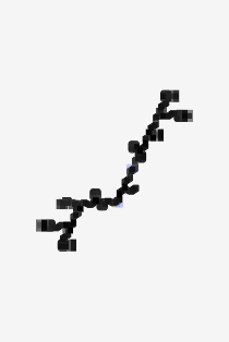 C=CC(C/C=C\COC(=O)CCN(CCC)CCCN(CCO)CCO)CC/C=C/COC(=O)CCNCCCN(CCO)CCO